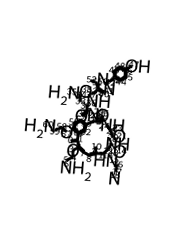 C=C1/C(OCCN)=C\C=C(/C)C[C@@H](C(=O)NCC#N)NC(=O)[C@H](C)NC(=O)[C@@H](N(C)C(=O)[C@H](CCN)NC(=O)c2cnc(-c3ccc(O)cc3)nc2C)c2ccc(OCCN)c1c2